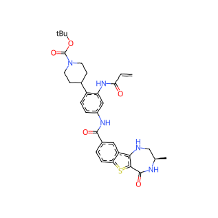 C=CC(=O)Nc1cc(NC(=O)c2ccc3sc4c(c3c2)NC[C@@H](C)NC4=O)ccc1C1CCN(C(=O)OC(C)(C)C)CC1